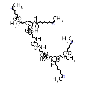 C/C=C\CCCCCC(=O)NC(COCC[C@@H](C)OC(=O)CCC/C=C\C)COP(=O)(O)OCCNC(=O)CC(=O)NCCOP(=O)(O)OCC(COCC[C@@H](C)OC(=O)CCC/C=C\C)NC(=O)CCCCC/C=C\C